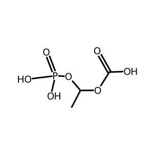 CC(OC(=O)O)OP(=O)(O)O